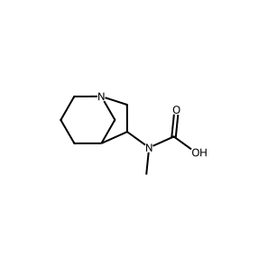 CN(C(=O)O)C1CN2CCCC1C2